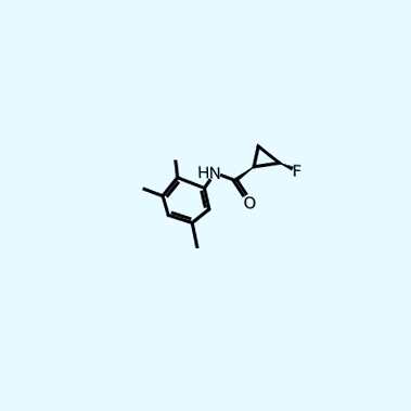 Cc1cc(C)c(C)c(NC(=O)[C@H]2C[C@H]2F)c1